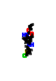 CCCOC(=O)Nc1c(C)cc(NCc2ccc(Cl)s2)cc1C